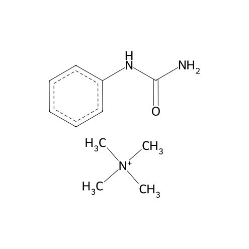 C[N+](C)(C)C.NC(=O)Nc1ccccc1